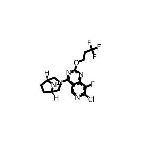 Fc1c(Cl)ncc2c(N3C[C@H]4CC[C@@H](C3)N4)nc(OCCC(F)(F)F)nc12